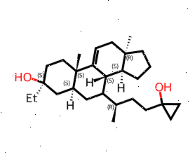 CC[C@]1(O)CC[C@]2(C)C3=CC[C@@]4(C)CCC[C@H]4[C@@H]3C([C@H](C)CCC3(O)CC3)C[C@H]2C1